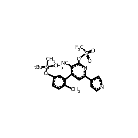 Cc1ccc(O[Si](C)(C)C(C)(C)C)cc1-c1cc(-c2ccncc2)nc(OS(=O)(=O)C(F)(F)F)c1C#N